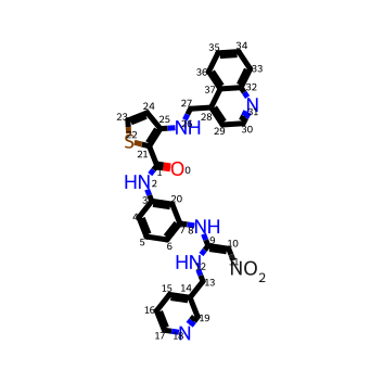 O=C(Nc1cccc(NC(=C[N+](=O)[O-])NCc2cccnc2)c1)c1sccc1NCc1ccnc2ccccc12